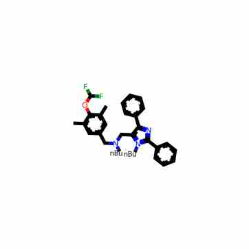 CCCCN(Cc1cc(C)c(OC(F)F)c(C)c1)Cc1c(-c2ccccc2)nc(-c2ccccc2)n1CCCC